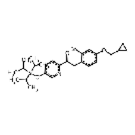 CC(C)[Si](Oc1ccc(C(=O)Cc2ccc(OCC3CC3)cc2Br)nc1)(C(C)C)C(C)C